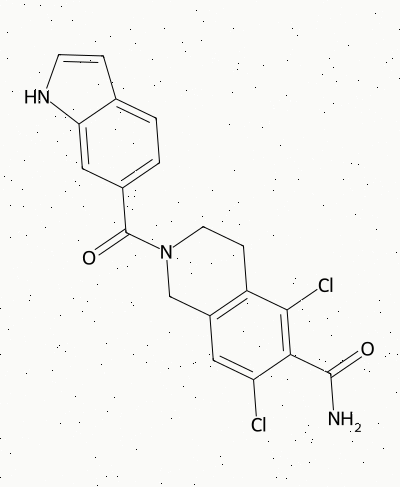 NC(=O)c1c(Cl)cc2c(c1Cl)CCN(C(=O)c1ccc3cc[nH]c3c1)C2